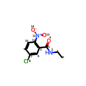 CCNC(=O)c1cc(Cl)ccc1[N+](=O)[O-]